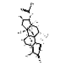 CCC(=O)O[C@@H]1[C@H](C)C[C@H]2[C@@H]3CCC4=C(F)C(=O)C=C[C@]4(C)[C@@]3(Br)[C@@H](O)C[C@]12C